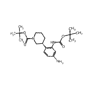 CC(C)(C)OC(=O)Nc1cc(N)ccc1[C@@H]1CCCN(C(=O)OC(C)(C)C)C1